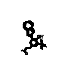 CC(=O)CCc1cc(C2C=c3ccccc3=C2)c(O)c(C(C)(C)C)c1